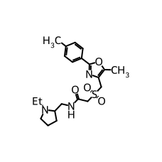 CCN1CCCC1CNC(=O)CS(=O)(=O)Cc1nc(-c2ccc(C)cc2)oc1C